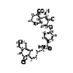 C=Cc1ccc(/C=C\CCNC(=O)c2ccc(Oc3cc4c(cc3Cl)C(C(=O)O)CCO4)cc2)c(Cl)c1